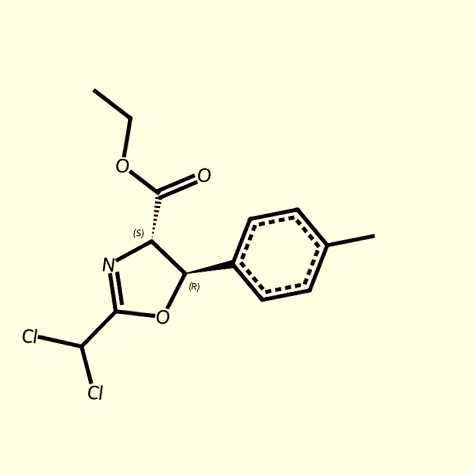 CCOC(=O)[C@H]1N=C(C(Cl)Cl)O[C@@H]1c1ccc(C)cc1